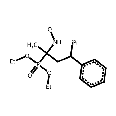 CCOP(=O)(OCC)C(C)(CC(c1ccccc1)C(C)C)N[O]